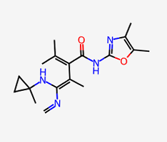 C=N/C(NC1(C)CC1)=C(\C)C(C(=O)Nc1nc(C)c(C)o1)=C(C)C